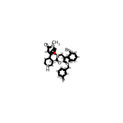 Cn1ccc(C2CCNC[C@@H]2C(=O)N(Cc2cn(Cc3cccc(F)c3)c3cccc(Br)c23)C2CC2)cc1=O